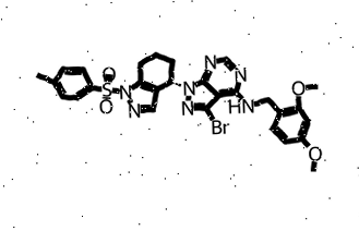 COc1ccc(CNc2ncnc3c2c(Br)nn3[C@H]2CCCc3c2cnn3S(=O)(=O)c2ccc(C)cc2)c(OC)c1